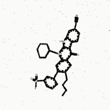 CCCCc1cc2c(=O)c3c4ccc(C#N)cc4[nH]c3n(C3CCCCC3)c2cc1-c1cccc(S(=O)(=O)F)c1